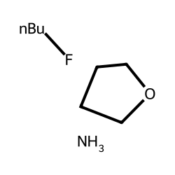 C1CCOC1.CCCCF.N